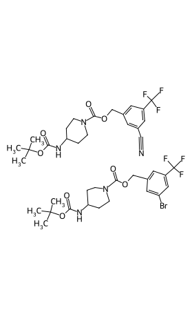 CC(C)(C)OC(=O)NC1CCN(C(=O)OCc2cc(Br)cc(C(F)(F)F)c2)CC1.CC(C)(C)OC(=O)NC1CCN(C(=O)OCc2cc(C#N)cc(C(F)(F)F)c2)CC1